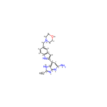 CCCCc1nc2nc(N)cc(-c3cc4cc(CN5CCOCC5)ccc4[nH]3)c2[nH]1